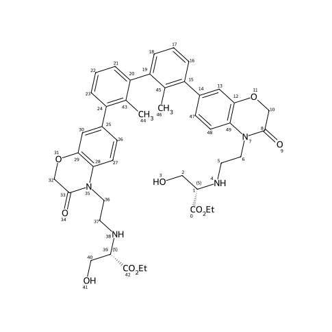 CCOC(=O)[C@H](CO)NCCN1C(=O)COc2cc(-c3cccc(-c4cccc(-c5ccc6c(c5)OCC(=O)N6CCN[C@@H](CO)C(=O)OCC)c4C)c3C)ccc21